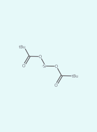 CC(C)(C)C(=O)O[Si]OC(=O)C(C)(C)C